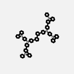 c1ccc(-n2c3ccccc3c3cc(-c4ccc(N(c5ccc(-c6cccc(-c7cccc(-c8ccc(N(c9ccc(-c%10ccc%11c(c%10)c%10ccccc%10n%11-c%10ccccc%10)cc9)c9ccc(-n%10c%11ccccc%11c%11ccccc%11%10)cc9)cc8)c7)c6)cc5)c5ccc(-n6c7ccccc7c7ccccc76)cc5)cc4)ccc32)cc1